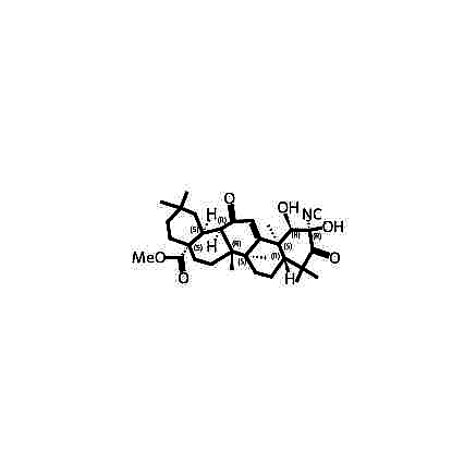 [C-]#[N+][C@]1(O)C(=O)C(C)(C)[C@@H]2CC[C@]3(C)C(=CC(=O)[C@@H]4[C@@H]5CC(C)(C)CC[C@]5(C(=O)OC)CC[C@]43C)[C@@]2(C)[C@H]1O